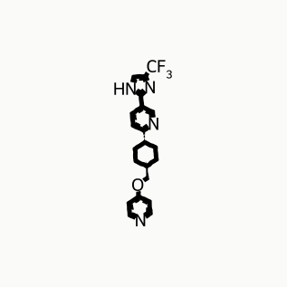 FC(F)(F)c1c[nH]c(-c2ccc([C@H]3CC[C@H](COc4ccncc4)CC3)nc2)n1